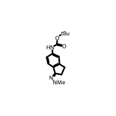 CN/N=C1\CCc2cc(NC(=O)OC(C)(C)C)ccc21